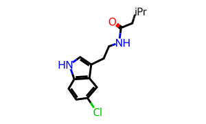 CC(C)CC(=O)NCCc1c[nH]c2ccc(Cl)cc12